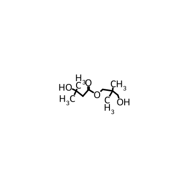 CC(C)(O)CC(=O)OCC(C)(C)CO